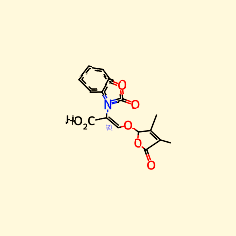 CC1=C(C)C(O/C=C(/C(=O)O)n2c(=O)oc3ccccc32)OC1=O